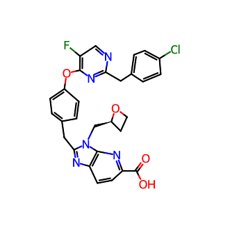 O=C(O)c1ccc2nc(Cc3ccc(Oc4nc(Cc5ccc(Cl)cc5)ncc4F)cc3)n(C[C@@H]3CCO3)c2n1